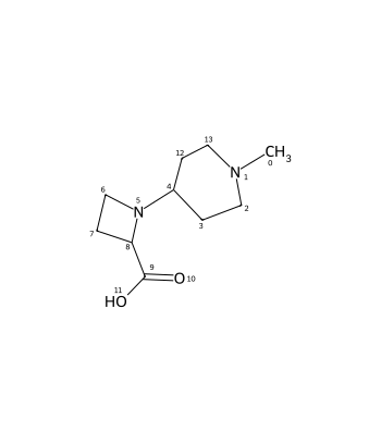 CN1CCC(N2CCC2C(=O)O)CC1